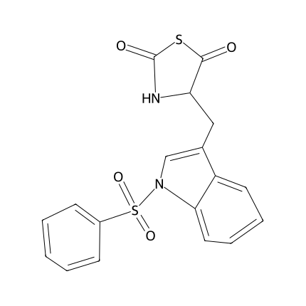 O=C1NC(Cc2cn(S(=O)(=O)c3ccccc3)c3ccccc23)C(=O)S1